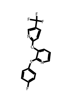 Fc1ccc(Sc2ncccc2Oc2ccc(C(F)(F)F)cn2)cc1